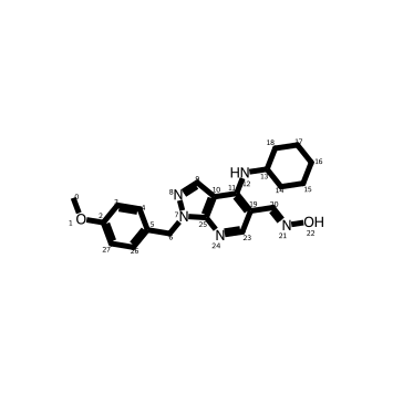 COc1ccc(Cn2ncc3c(NC4CCCCC4)c(C=NO)cnc32)cc1